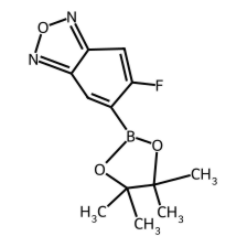 CC1(C)OB(c2cc3nonc3cc2F)OC1(C)C